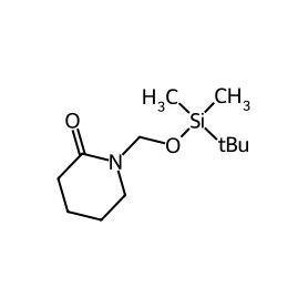 CC(C)(C)[Si](C)(C)OCN1CCCCC1=O